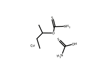 CCC(C)OC(N)=S.NC(O)=S.[Cu]